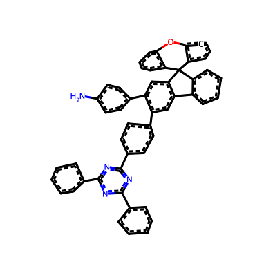 Nc1ccc(-c2cc3c(cc2-c2ccc(-c4nc(-c5ccccc5)nc(-c5ccccc5)n4)cc2)-c2ccccc2C32c3ccccc3Oc3ccccc32)cc1